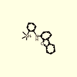 C[SH](C)(C)(C)c1ccccc1Nc1cccc2c1oc1ccccc12